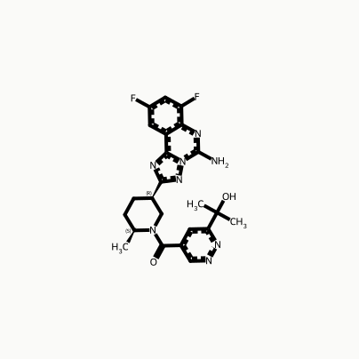 C[C@H]1CC[C@@H](c2nc3c4cc(F)cc(F)c4nc(N)n3n2)CN1C(=O)c1cnnc(C(C)(C)O)c1